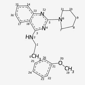 CCNc1nc(N2CCCCC2)nc2ccccc12.COc1ccccc1